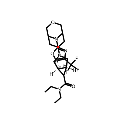 CCN(CC)C(=O)C1[C@H]2CN(C3CC4COCC(C3)N4c3nc(C(F)(F)F)no3)C[C@@H]12